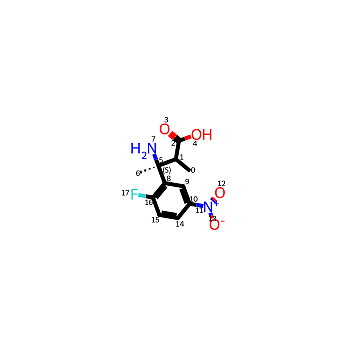 CC(C(=O)O)[C@](C)(N)c1cc([N+](=O)[O-])ccc1F